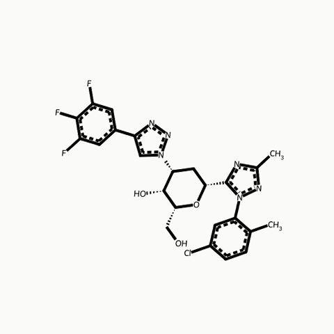 Cc1nc([C@H]2C[C@@H](n3cc(-c4cc(F)c(F)c(F)c4)nn3)[C@@H](O)[C@@H](CO)O2)n(-c2cc(Cl)ccc2C)n1